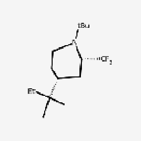 CCC(C)(C)[C@@H]1CCN(C(C)(C)C)[C@H](C(F)(F)F)C1